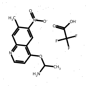 Cc1cc2nccc(OC(C)N)c2cc1[N+](=O)[O-].O=C(O)C(F)(F)F